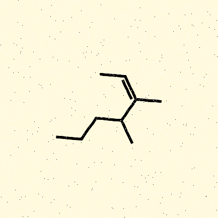 CC=C(C)C(C)CCC